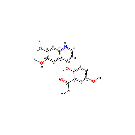 CCC(=O)c1cc(OC)ccc1Oc1ccnc2cc(OC)c(OC)cc12